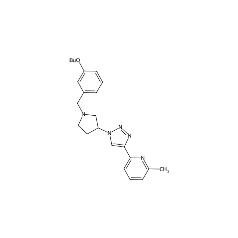 Cc1cccc(-c2cn(C3CCN(Cc4cccc(OCC(C)C)c4)C3)nn2)n1